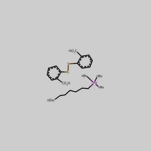 CCCCCCCCCCCCCCCC[PH](CCCC)(CCCC)CCCC.O=C(O)c1ccccc1SSc1ccccc1C(=O)O